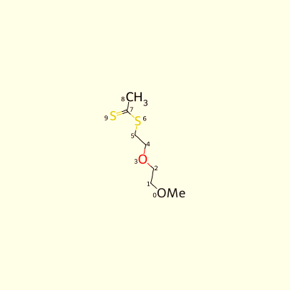 COCCOCCSC(C)=S